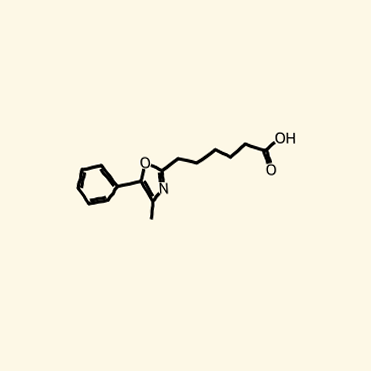 Cc1nc(CCCCCC(=O)O)oc1-c1ccccc1